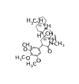 COc1cc(C2C[C@]3(C)[C@H]4CC[C@]5(C)CCC[C@H]5[C@@H]4CC[C@H]3N(C)C2=O)cc(OC)c1OC